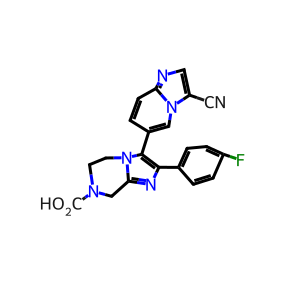 N#Cc1cnc2ccc(-c3c(-c4ccc(F)cc4)nc4n3CCN(C(=O)O)C4)cn12